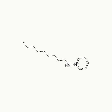 CCCCCCCCCN[n+]1ccccc1